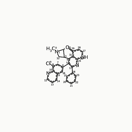 CN1CC(c2c(-c3cc(Cl)c4ncccc4c3)c(-c3ccccc3)nc3[nH]ccc(=O)c23)C1